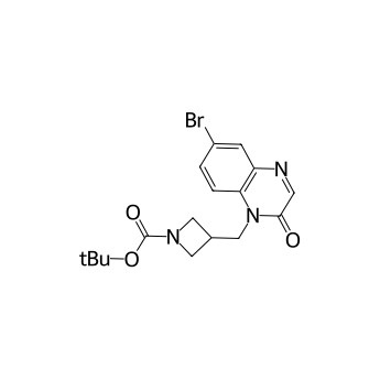 CC(C)(C)OC(=O)N1CC(Cn2c(=O)cnc3cc(Br)ccc32)C1